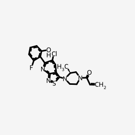 C=CC(=O)N1CCN(c2snc3nc(-c4c(O)cccc4F)c(Cl)cc23)[C@@H](C)C1